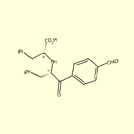 CC(C)C[C@H](N[C@H](CC(C)C)C(=O)O)C(=O)c1ccc(C=O)cc1